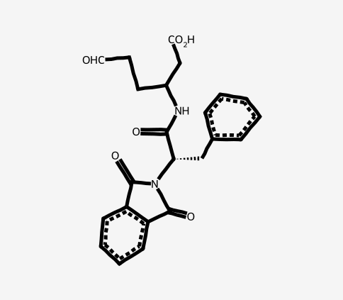 O=CCCC(CC(=O)O)NC(=O)[C@H](Cc1ccccc1)N1C(=O)c2ccccc2C1=O